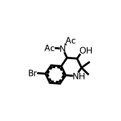 CC(=O)N(C(C)=O)C1c2cc(Br)ccc2NC(C)(C)C1O